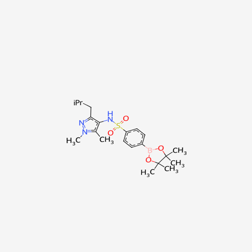 Cc1c(NS(=O)(=O)c2ccc(B3OC(C)(C)C(C)(C)O3)cc2)c(CC(C)C)nn1C